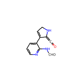 O=C=C1NCC=C1c1cccnc1NC=O